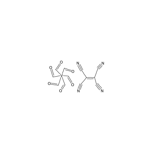 N#CC(C#N)=C(C#N)C#N.O=[CH][V]([CH]=O)([CH]=O)([CH]=O)([CH]=O)[CH]=O